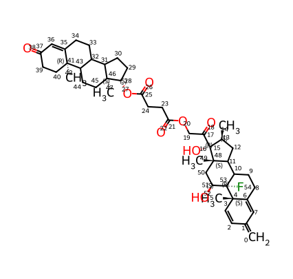 C=C1C=C[C@@]2(C)C(=C1)CCC1C3C[C@H](C)[C@](O)(C(=O)COC(=O)CCC(=O)O[C@H]4CCC5C6CCC7=CC(=O)CC[C@]7(C)C6CC[C@@]54C)[C@@]3(C)C[C@H](O)[C@@]12F